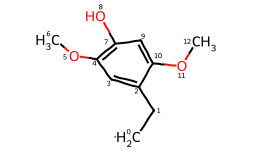 [CH2]Cc1cc(OC)c(O)cc1OC